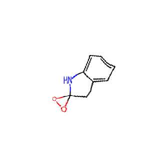 c1ccc2c(c1)CC1(N2)OO1